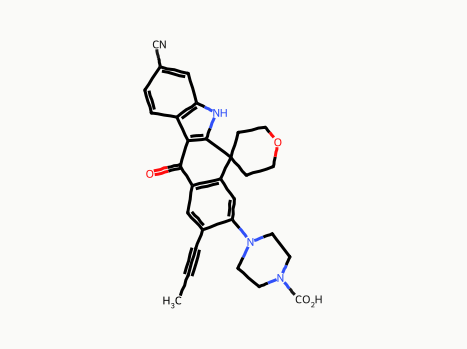 CC#Cc1cc2c(cc1N1CCN(C(=O)O)CC1)C1(CCOCC1)c1[nH]c3cc(C#N)ccc3c1C2=O